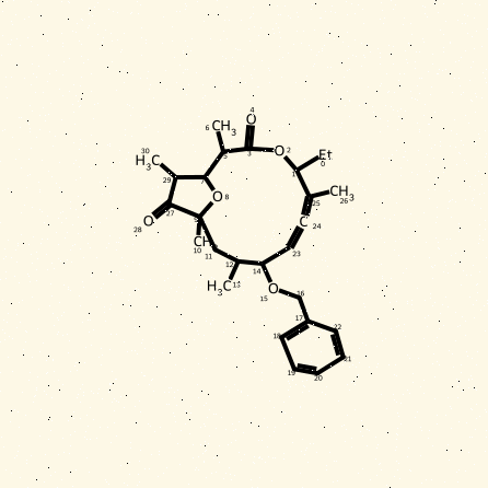 CCC1OC(=O)C(C)C2OC(C)(CC(C)C(OCc3ccccc3)C=C=C1C)C(=O)C2C